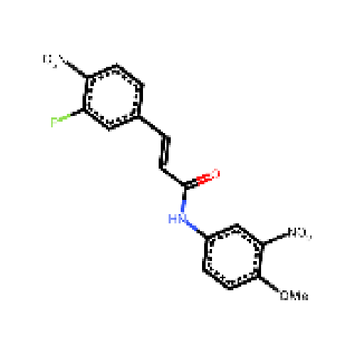 COc1ccc(NC(=O)C=Cc2ccc([N+](=O)[O-])c(F)c2)cc1[N+](=O)[O-]